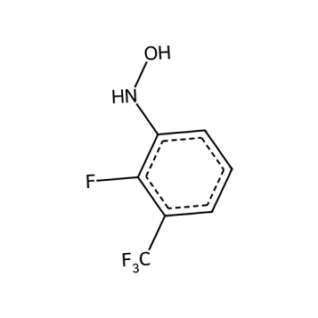 ONc1cccc(C(F)(F)F)c1F